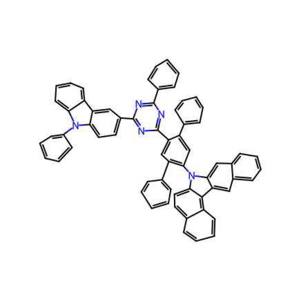 c1ccc(-c2nc(-c3ccc4c(c3)c3ccccc3n4-c3ccccc3)nc(-c3cc(-c4ccccc4)c(-n4c5cc6ccccc6cc5c5c6ccccc6ccc54)cc3-c3ccccc3)n2)cc1